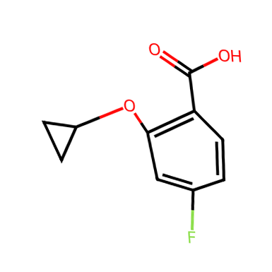 O=C(O)c1ccc(F)cc1OC1CC1